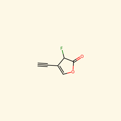 C#CC1=COC(=O)C1F